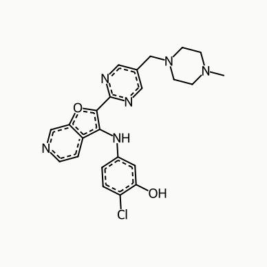 CN1CCN(Cc2cnc(-c3oc4cnccc4c3Nc3ccc(Cl)c(O)c3)nc2)CC1